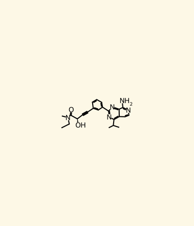 CCN(C)C(=O)[C@H](O)C#Cc1cccc(-c2nc(C(C)C)c3ccnc(N)c3n2)c1